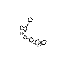 CC(C)(CN1CCOCC1)NC(=O)c1ccc(-c2csc(NC(=O)C3CCCN3C(=O)OCc3ccccc3)n2)cc1